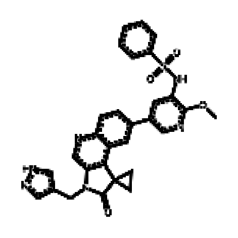 COc1ncc(-c2ccc3ncc4c(c3c2)C2(CC2)C(=O)N4Cc2cn[nH]c2)cc1NS(=O)(=O)c1ccccc1